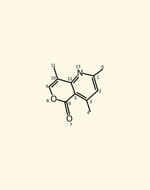 Cc1cc(C)c2c(=O)occ(C)c2n1